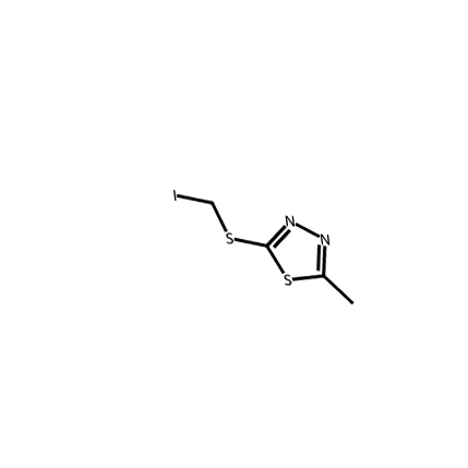 Cc1nnc(SCI)s1